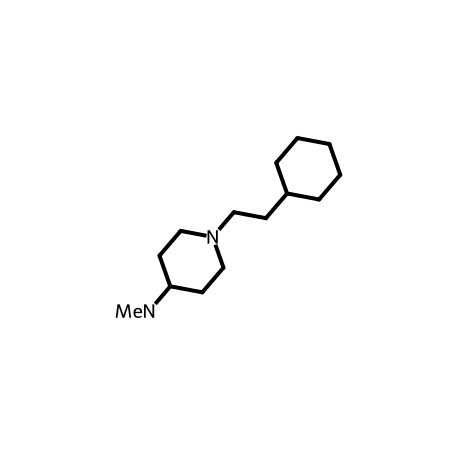 CNC1CCN(CCC2CCCCC2)CC1